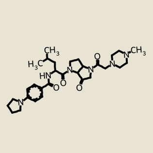 CC(C)CC(NC(=O)c1ccc(N2CCCC2)cc1)C(=O)N1CCC2C1C(=O)CN2C(=O)CN1CCN(C)CC1